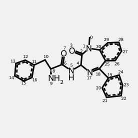 CN1C(=O)C(NC(=O)[C@@H](N)Cc2ccccc2)N=C(c2ccccc2)c2ccccc21